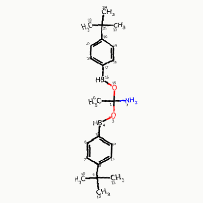 CC(N)(OBc1ccc(C(C)(C)C)cc1)OBc1ccc(C(C)(C)C)cc1